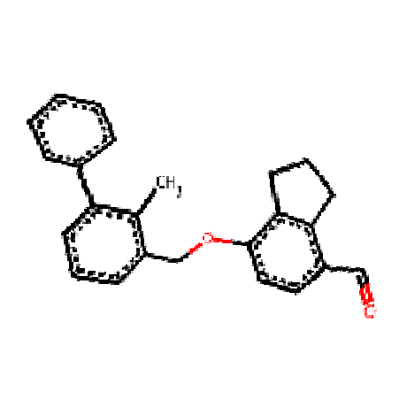 Cc1c(COc2ccc(C=O)c3c2CCC3)cccc1-c1ccccc1